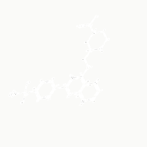 CC(=O)N1CCO[C@H](COc2nc(-c3ccc(C(C)(C)N)cc3)cc3nccnc23)C1